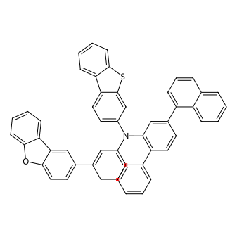 c1ccc(-c2ccc(-c3cccc4ccccc34)cc2N(c2cccc(-c3ccc4oc5ccccc5c4c3)c2)c2ccc3c(c2)sc2ccccc23)cc1